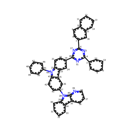 c1ccc(-c2nc(-c3ccc4ccccc4c3)nc(-c3ccc4c(c3)c3cc(-n5c6ccccc6c6cccnc65)ccc3n4-c3ccccc3)n2)cc1